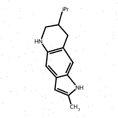 Cc1cc2cc3c(cc2[nH]1)CC(C(C)C)CN3